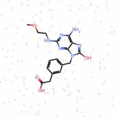 COCCNc1nc(N)c2nc(O)n(Cc3cccc(CC(=O)O)c3)c2n1